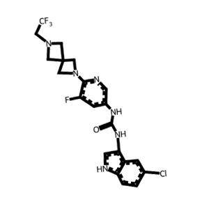 O=C(Nc1cnc(N2CC3(CN(CC(F)(F)F)C3)C2)c(F)c1)Nc1c[nH]c2ccc(Cl)cc12